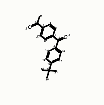 CC(=O)c1ccc(C(=O)c2ccc(C(C)(C)C)cc2)cc1